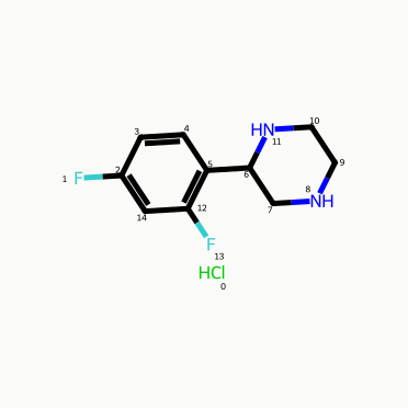 Cl.Fc1ccc(C2CNCCN2)c(F)c1